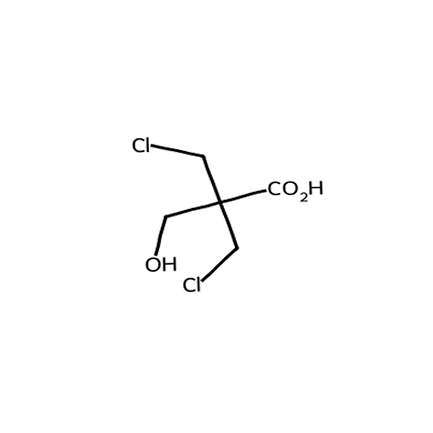 O=C(O)C(CO)(CCl)CCl